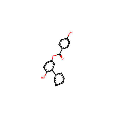 O=C(Oc1ccc(O)c(-c2ccccc2)c1)c1ccc(O)cc1